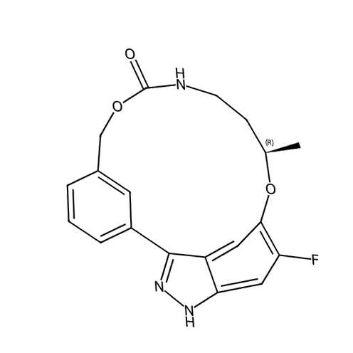 C[C@@H]1CCNC(=O)OCc2cccc(c2)-c2n[nH]c3cc(F)c(cc23)O1